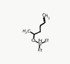 C=CCCC(C)O[SiH](CC)CC